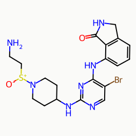 NCC[S+]([O-])N1CCC(Nc2ncc(Br)c(Nc3cccc4c3C(=O)NC4)n2)CC1